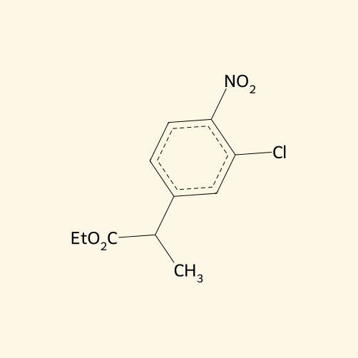 CCOC(=O)C(C)c1ccc([N+](=O)[O-])c(Cl)c1